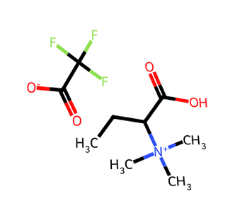 CCC(C(=O)O)[N+](C)(C)C.O=C([O-])C(F)(F)F